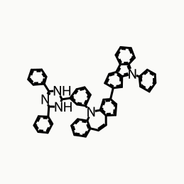 C1=Cc2ccc(-c3ccc4c5ccccc5n(-c5ccccc5)c4c3)cc2N(c2cccc(C3NC(c4ccccc4)=NC(c4ccccc4)N3)c2)c2ccccc21